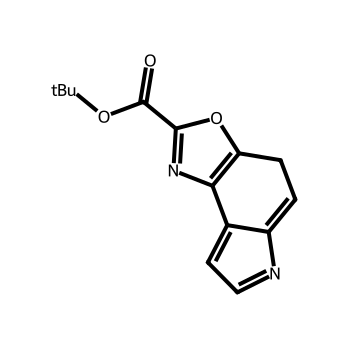 CC(C)(C)OC(=O)c1nc2c(o1)CC=C1N=CC=C12